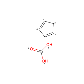 C1=CCC=C1.O=C(O)O